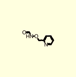 O=CNOCc1ccccn1